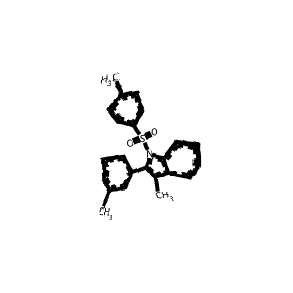 Cc1ccc(S(=O)(=O)n2c(-c3cccc(C)c3)c(C)c3ccccc32)cc1